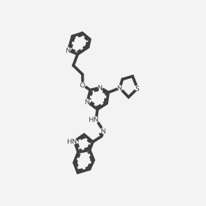 C(=N/Nc1cc(N2CCSC2)nc(OCCc2ccccn2)n1)/c1c[nH]c2ccccc12